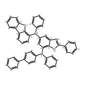 c1ccc(-c2ccc(N(c3ccccc3)c3cc(N(c4ccccc4)c4cccc5c4sc4ccccc45)cc4nc(-c5ccccc5)oc34)cc2)cc1